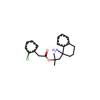 CC(C)(CC1(N)CCCc2ccccc21)OC(=O)Cc1ccccc1Cl